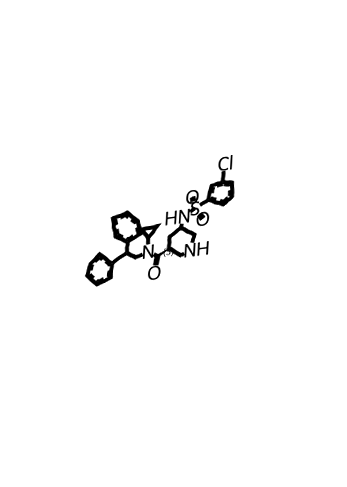 O=C([C@@H]1CNCC(NS(=O)(=O)c2cccc(Cl)c2)C1)N(CC(c1ccccc1)c1ccccc1)C1CC1